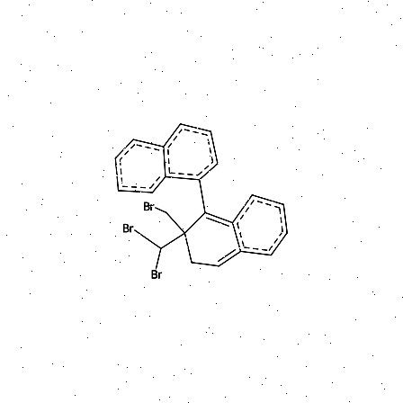 BrCC1(C(Br)Br)CC=c2ccccc2=C1c1cccc2ccccc12